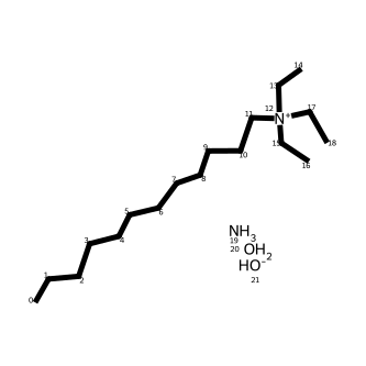 CCCCCCCCCCCC[N+](CC)(CC)CC.N.O.[OH-]